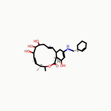 CC1OC(=O)[C@@H]2C(O)C=C(NC[C@H]3C=CCCC3)CC2/C=C/CC(O)C(O)C(O)/C=C\[C@H]1C